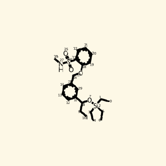 CC[Si](CC)(CC)OC(CI)c1cccc(COc2ccccc2S(=O)(=O)NC)c1